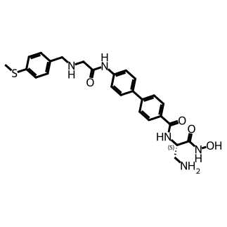 CSc1ccc(CNCC(=O)Nc2ccc(-c3ccc(C(=O)N[C@@H](CN)C(=O)NO)cc3)cc2)cc1